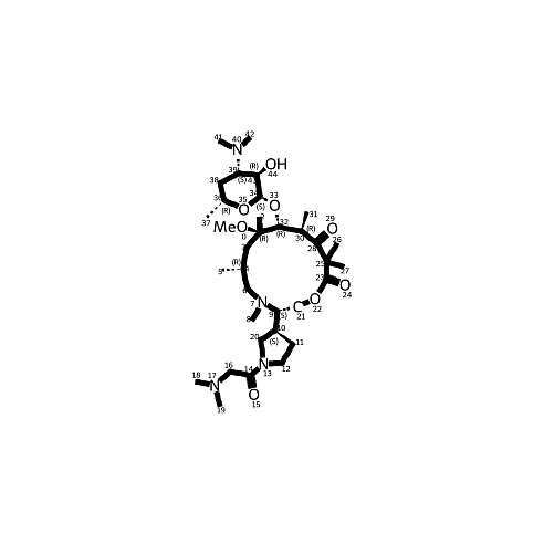 CO[C@]1(C)C[C@@H](C)CN(C)[C@@H]([C@H]2CCN(C(=O)CN(C)C)C2)COC(=O)C(C)(C)C(=O)[C@H](C)[C@H]1O[C@@H]1O[C@H](C)C[C@H](N(C)C)[C@H]1O